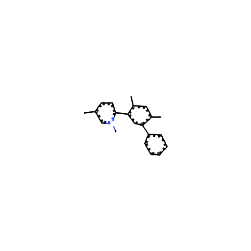 Cc1ccc(-c2cc(-c3ccccc3)c(C)cc2C)[n+](C)c1